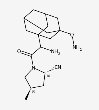 C[C@@H]1C[C@@H](C#N)N(C(=O)C(N)C23CC4CC(CC(ON)(C4)C2)C3)C1